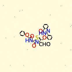 O=CC1C(COc2ccccc2-c2nc3ccccc3c(=O)[nH]2)=CSC2C(NC(=O)COc3ccccc3)C(=O)N12